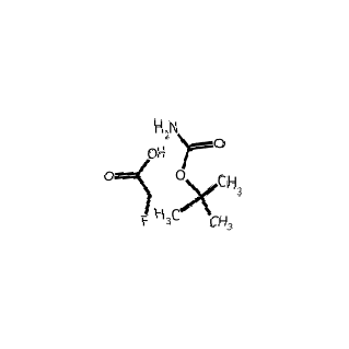 CC(C)(C)OC(N)=O.O=C(O)CF